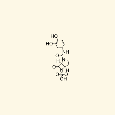 O=C(Nc1ccc(O)c(O)c1)N1CC[C@@H]2[C@H]1C(=O)N2S(=O)(=O)O